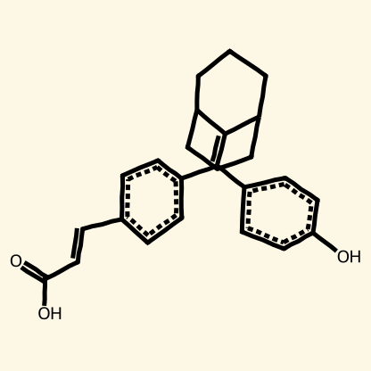 O=C(O)/C=C/c1ccc(C(=C2C3CCCC2CCC3)c2ccc(O)cc2)cc1